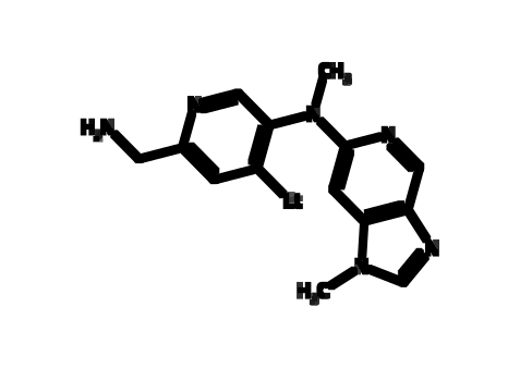 CCc1cc(CN)ncc1N(C)c1cc2c(cn1)ncn2C